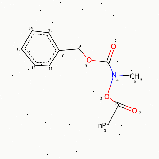 CCCC(=O)ON(C)C(=O)OCc1ccccc1